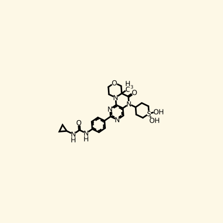 CC12COCCN1c1nc(-c3ccc(NC(=O)NC4CC4)cc3)ncc1N(C1CCS(O)(O)CC1)C2=O